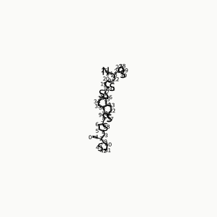 C#C/C(=C\c1ccc(-c2cc3c(ccc4c5cc(-c6ccc(/C=C(\C#N)c7cccs7)s6)sc5ccc34)s2)s1)c1cccs1